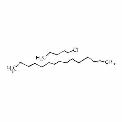 CCCCCCCCCCCCCCC.CCCCCCl